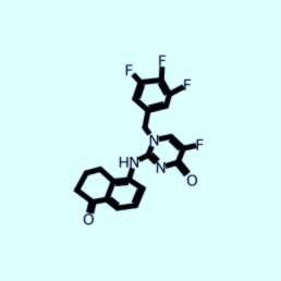 O=C1CCCc2c(Nc3nc(=O)c(F)cn3Cc3cc(F)c(F)c(F)c3)cccc21